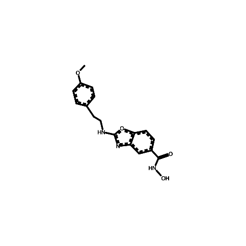 COc1ccc(CCNc2nc3cc(C(=O)NO)ccc3o2)cc1